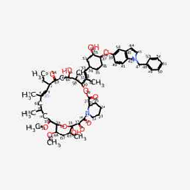 CCC1/C=C(\C)CC(C)CC(OC)C2OC(O)(C(=O)C(=O)N3CCCCC3C(=O)OC(C(C)=CC3CCC(Oc4ccc5c(ccn5Cc5ccccc5)c4)C(O)C3)C(C)C(O)CC1=O)C(C)CC2OC